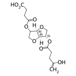 C=C(O)CCC(=O)O[C@H]1CO[C@@H]2C(OC(=O)CCC(=O)O)CO[C@H]12